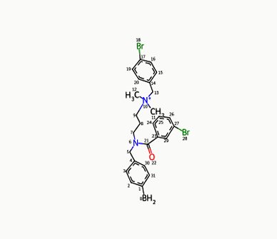 Bc1ccc(CN(CCC[N+](C)(C)Cc2ccc(Br)cc2)C(=O)c2cccc(Br)c2)cc1